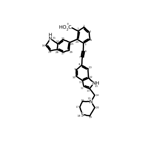 O=C(O)c1cccc(C#Cc2ccc3cc(CN4CCSCC4)[nH]c3c2)c1-c1ccc2cc[nH]c2c1